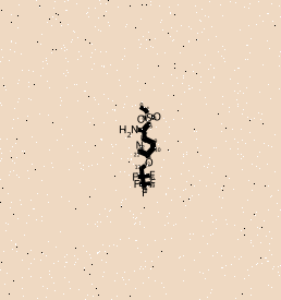 CCS(=O)(=O)/C=C(\N)c1ccc(OCC(F)(F)C(F)(F)F)cn1